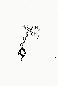 C[Si](C)(C)CCOCOc1ccc(Cl)nc1